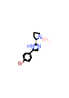 BN1CCC[C@H]1c1ncc(-c2ccc(Br)cc2)[nH]1